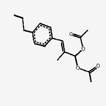 CCCc1ccc(/C=C(\C)C(OC(C)=O)OC(C)=O)cc1